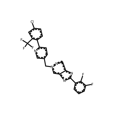 Fc1cccc(-c2nc3cnn(Cc4ccc(-c5ccc(Cl)cc5C(F)(F)F)nc4)cc-3n2)c1F